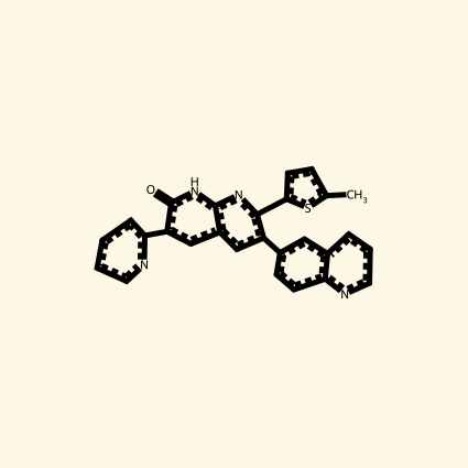 Cc1ccc(-c2nc3[nH]c(=O)c(-c4ccccn4)cc3cc2-c2ccc3ncccc3c2)s1